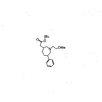 COCCN1CC(CC(=O)OC(C)(C)C)CCC(c2ccccc2)C1